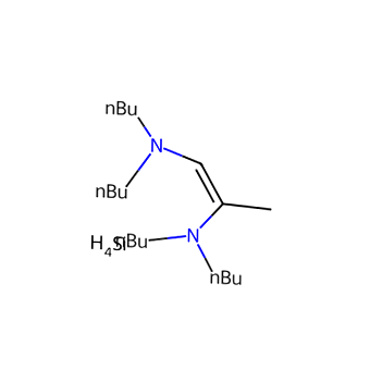 CCCCN(C=C(C)N(CCCC)CCCC)CCCC.[SiH4]